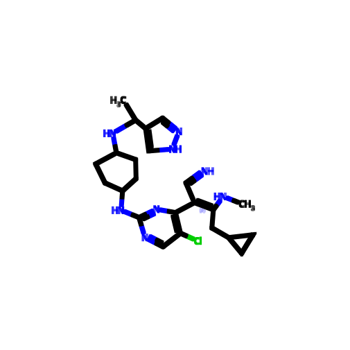 CN/C(CC1CC1)=C(\C=N)c1nc(NC2CCC(NC(C)c3cn[nH]c3)CC2)ncc1Cl